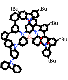 CC(C)(C)c1cc(-c2ccccc2)c(N2C3=C4B(c5ccc(-n6c7ccc(C(C)(C)C)cc7c7cc(C(C)(C)C)ccc76)cc52)c2ccc(-n5c6ccccc6c6cc(-n7c8ccccc8c8ccccc87)ccc65)cc2N(c2cc(-c5ccccc5)cc(-c5ccccc5)c2)C4CC(n2c4ccc(C(C)(C)C)cc4c4cc(C(C)(C)C)ccc42)=C3)c(-c2ccccc2)c1